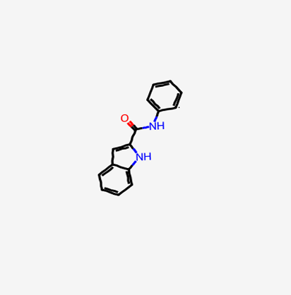 O=C(Nc1[c]cccc1)c1cc2ccccc2[nH]1